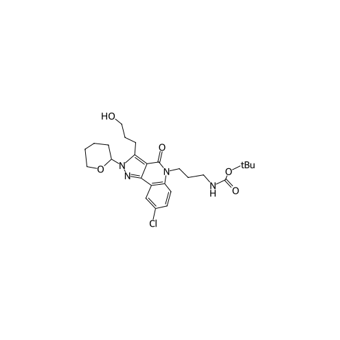 CC(C)(C)OC(=O)NCCCn1c(=O)c2c(CCCO)n(C3CCCCO3)nc2c2cc(Cl)ccc21